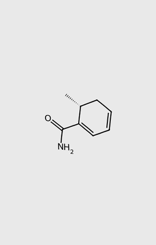 C[C@@H]1CC=CC=C1C(N)=O